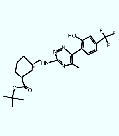 Cc1nc(NC[C@@H]2CCCN(C(=O)OC(C)(C)C)C2)nnc1-c1ccc(C(F)(F)F)cc1O